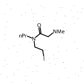 CCCN(CCI)C(=O)CNC